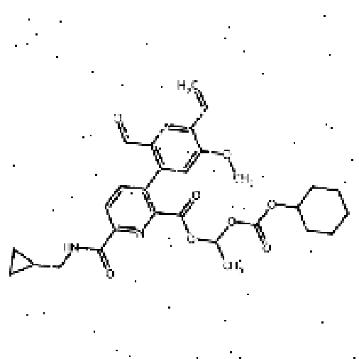 C=Cc1cc(C=O)c(-c2ccc(C(=O)NCC3CC3)nc2C(=O)OC(C)OC(=O)OC2CCCCC2)cc1OC